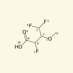 COC(C(F)F)C(F)C(=O)O